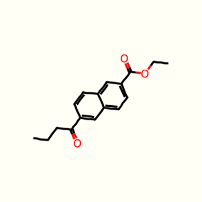 CCCC(=O)c1ccc2cc(C(=O)OCC)ccc2c1